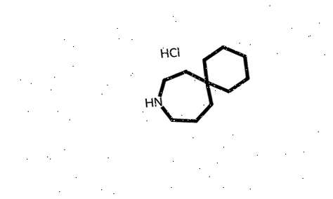 C1CCC2(CC1)CCCNCC2.Cl